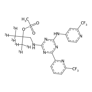 [2H]C([2H])([2H])C(CNc1nc(Nc2ccnc(C(F)(F)F)c2)nc(-c2cccc(C(F)(F)F)n2)n1)(OS(C)(=O)=O)C([2H])([2H])[2H]